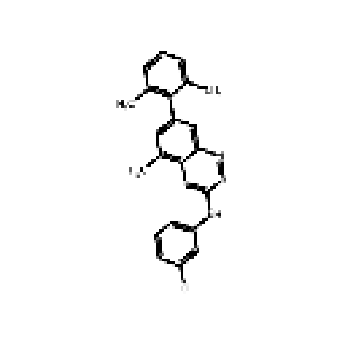 Cc1cccc(C)c1-c1cc(C)c2nc(Nc3cccc(Cl)c3)nnc2c1